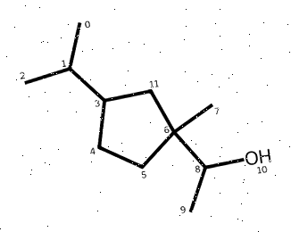 CC(C)C1CCC(C)(C(C)O)C1